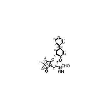 CN1C(=O)N(CC(COc2ccc(-c3ccncc3)cc2)N(O)C=O)C(=O)C1(C)C